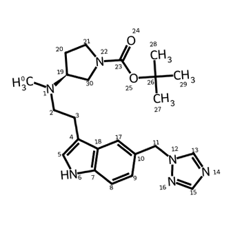 CN(CCc1c[nH]c2ccc(Cn3cncn3)cc12)[C@H]1CCN(C(=O)OC(C)(C)C)C1